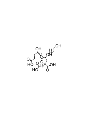 O=C(O)CC(O)(CC(=O)O)C(=O)O.O=C(O)CCC(=O)O.OCCO